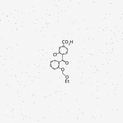 CCOCOc1ccccc1C(=O)c1ccc(C(=O)O)cc1Cl